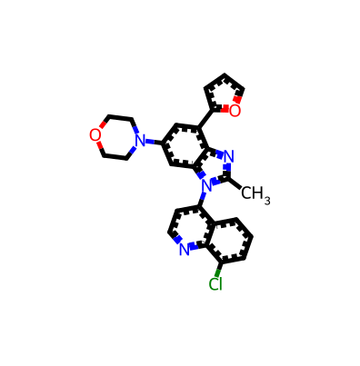 Cc1nc2c(-c3ccco3)cc(N3CCOCC3)cc2n1-c1ccnc2c(Cl)cccc12